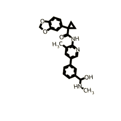 CNC(O)c1cccc(-c2cnc(NC(=O)C3(c4ccc5c(c4)OCO5)CC3)c(C)c2)c1